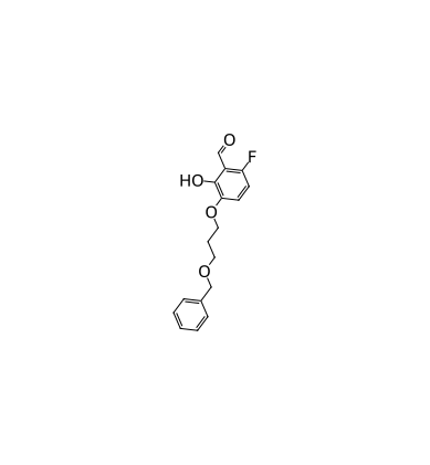 O=Cc1c(F)ccc(OCCCOCc2ccccc2)c1O